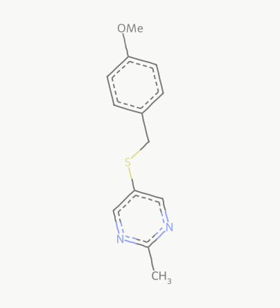 COc1ccc(CSc2cnc(C)nc2)cc1